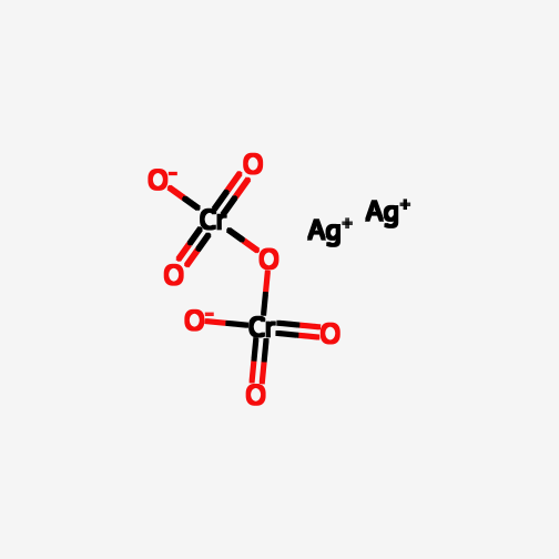 [Ag+].[Ag+].[O]=[Cr](=[O])([O-])[O][Cr](=[O])(=[O])[O-]